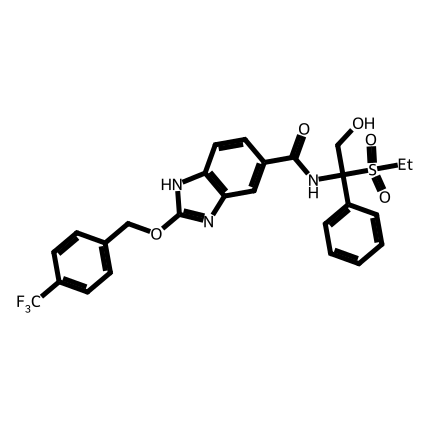 CCS(=O)(=O)C(CO)(NC(=O)c1ccc2[nH]c(OCc3ccc(C(F)(F)F)cc3)nc2c1)c1ccccc1